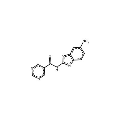 O=C(Nc1nc2ccc([N+](=O)[O-])cc2s1)c1cncnc1